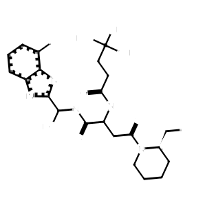 CC[C@H]1CCCCN1C(=O)CC(NC(=O)CCC(C)(C)C)C(=O)NC(C)c1nc2c(F)cccc2[nH]1